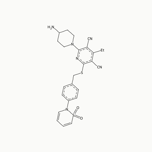 CCc1c(C#N)c(SCc2ccc(N3C=CC=CS3(=O)=O)cc2)nc(N2CCC(N)CC2)c1C#N